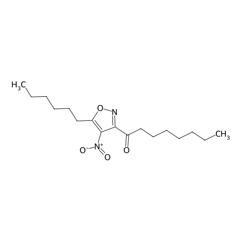 CCCCCCCC(=O)c1noc(CCCCCC)c1[N+](=O)[O-]